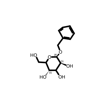 OCC1O[C@@H](OCc2ccccc2)[C@@H](O)C(O)[C@@H]1O